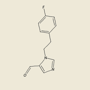 O=Cc1cncn1CCc1ccc(F)cc1